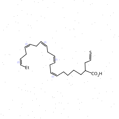 CC/C=C\C/C=C\C/C=C\C/C=C\C/C=C\CCCCC(CC=S)C(=O)O